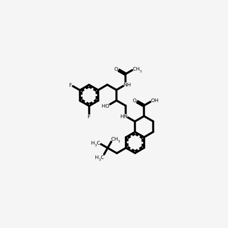 CC(=O)NC(Cc1cc(F)cc(F)c1)C(O)CNC1c2cc(CC(C)(C)C)ccc2CCC1C(=O)O